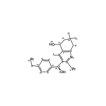 Cc1c2c(nc(C(C)C)c1[C@@H](O)c1ccc(CC(C)C)cc1)CC(C)(C)CC2O